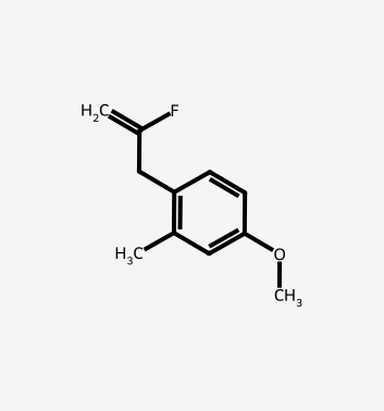 C=C(F)Cc1ccc(OC)cc1C